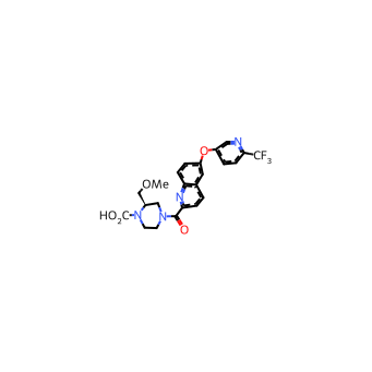 COC[C@H]1CN(C(=O)c2ccc3cc(Oc4ccc(C(F)(F)F)nc4)ccc3n2)CCN1C(=O)O